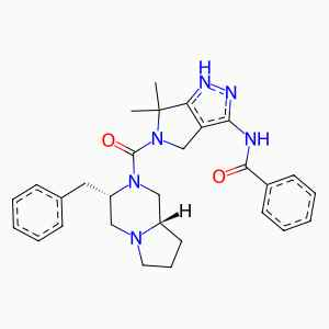 CC1(C)c2[nH]nc(NC(=O)c3ccccc3)c2CN1C(=O)N1C[C@@H]2CCCN2C[C@@H]1Cc1ccccc1